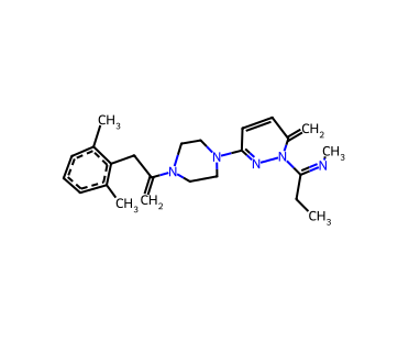 C=C(Cc1c(C)cccc1C)N1CCN(C2=NN(/C(CC)=N\C)C(=C)C=C2)CC1